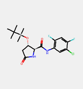 CC(C)(C)[Si](C)(C)O[C@H]1CC(=O)N[C@@H]1C(=O)Nc1cc(Cl)c(F)cc1F